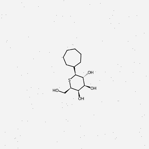 OC[C@H]1S[C@@H](C2C[CH]CCCC2)[C@H](O)[C@@H](O)[C@H]1O